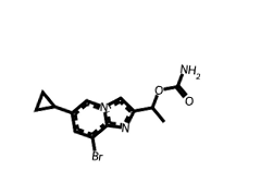 CC(OC(N)=O)c1cn2cc(C3CC3)cc(Br)c2n1